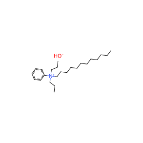 CCCCCCCCCCCC[N+](CCC)(CCC)c1ccccc1.[OH-]